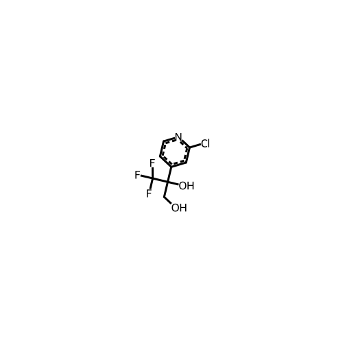 OCC(O)(c1ccnc(Cl)c1)C(F)(F)F